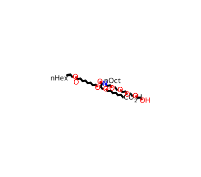 CCCCCC/C=C\COC(=O)CCCCCCCOC(COCCCCCCCC(=O)O)C(=O)N(CCCCCCCC)CCOCCOCCOCCOCCO